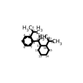 CC(C)c1ccccc1C(C)C1CCCCC1C(C)C